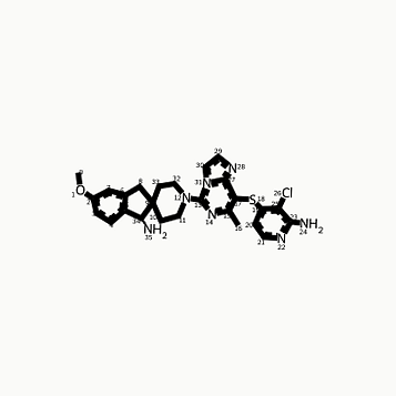 COc1ccc2c(c1)CC1(CCN(c3nc(C)c(Sc4ccnc(N)c4Cl)c4nccn34)CC1)[C@@H]2N